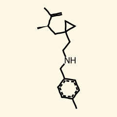 C=C(C)[C@H](C)CC1(CCNCc2ccc(C)cc2)CC1